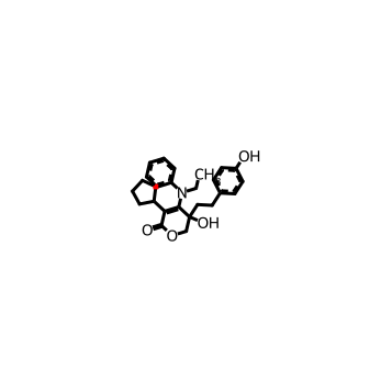 CCN(C1=C(C2CCCC2)C(=O)OCC1(O)CCc1ccc(O)cc1)c1ccccc1